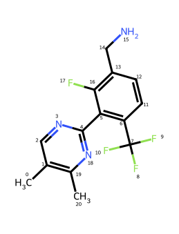 Cc1cnc(-c2c(C(F)(F)F)ccc(CN)c2F)nc1C